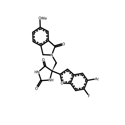 COc1ccc2c(c1)C(=O)N(C[C@@]1(c3cc4cc(C(C)=O)c(F)cc4o3)NC(=O)NC1=O)C2